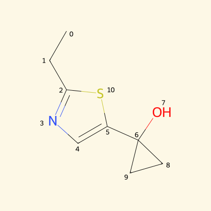 CCc1ncc(C2(O)CC2)s1